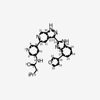 CC(C)CC(=O)Nc1cncc(-c2cc3c(-c4nc5c(-c6ccoc6)cccc5[nH]4)n[nH]c3cn2)c1